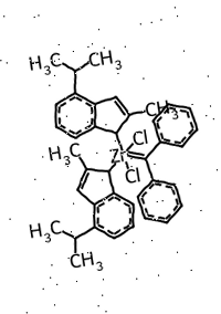 CC1=Cc2c(C(C)C)cccc2[CH]1[Zr]([Cl])([Cl])(=[C](c1ccccc1)c1ccccc1)[CH]1C(C)=Cc2c(C(C)C)cccc21